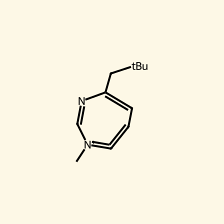 C[N+]1=C=CC=C(CC(C)(C)C)N=C1